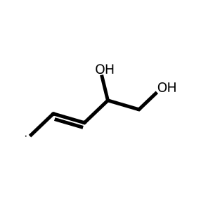 [CH2]C=CC(O)CO